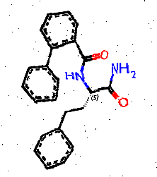 NC(=O)[C@H](CCc1ccccc1)NC(=O)c1ccccc1-c1ccccc1